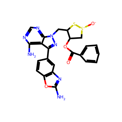 Nc1nc2cc(-c3nn(CC4S[S+]([O-])CC4OC(=O)c4ccccc4)c4ncnc(N)c34)ccc2o1